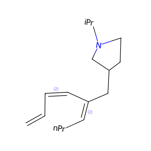 C=C/C=C\C(=C/CCC)CC1CCN(C(C)C)C1